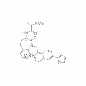 CNC(C)C(=O)N[C@H]1CCc2ccccc2N(Cc2c(OC)ccc3cc(-c4ccco4)ccc23)C1=O